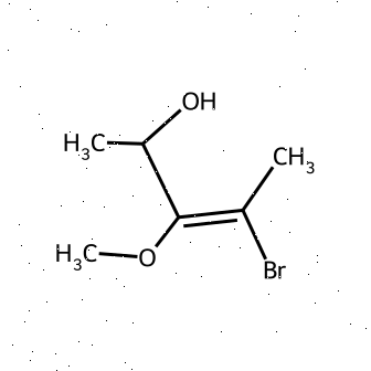 CO/C(=C(/C)Br)C(C)O